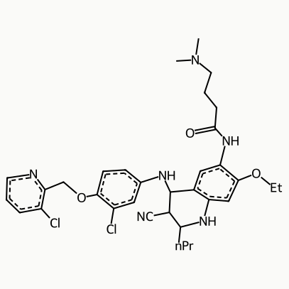 CCCC1Nc2cc(OCC)c(NC(=O)CCCN(C)C)cc2C(Nc2ccc(OCc3ncccc3Cl)c(Cl)c2)C1C#N